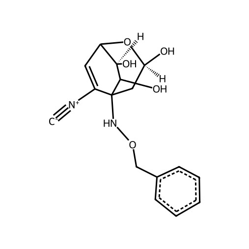 [C-]#[N+]C1=CC2O[C@@H](O)CC1(NOCc1ccccc1)C(O)[C@@H]2O